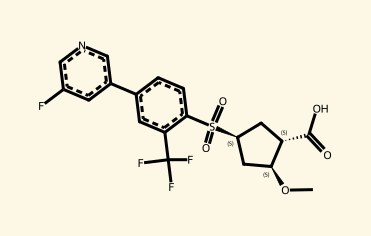 CO[C@H]1C[C@@H](S(=O)(=O)c2ccc(-c3cncc(F)c3)cc2C(F)(F)F)C[C@@H]1C(=O)O